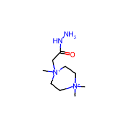 C[N+]1(C)CC[N+](C)(CC(=O)NN)CC1